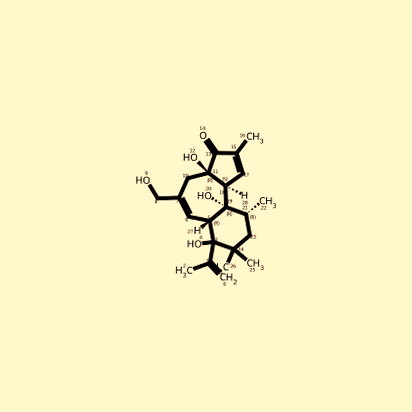 C=C(C)C1(O)[C@@H]2C=C(CO)C[C@]3(O)C(=O)C(C)=C[C@H]3[C@@]2(O)[C@H](C)CC1(C)C